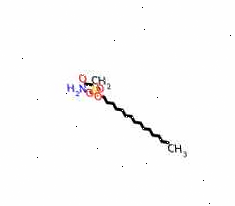 C=C(C(N)=O)S(=O)(=O)OCCCCCCCCCCCCCCCC